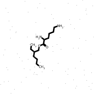 CCCCC(CC)COC(=O)C(N)CCCCN